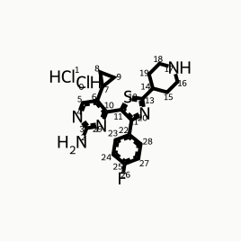 Cl.Cl.Nc1ncc(C2CC2)c(-c2sc(C3CCNCC3)nc2-c2ccc(F)cc2)n1